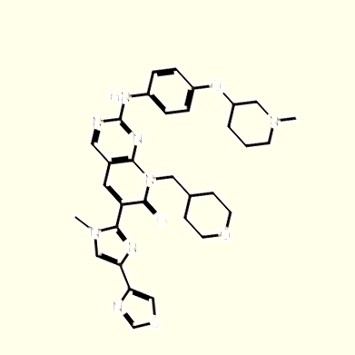 CN1CCCC(Oc2ccc(Nc3ncc4cc(-c5nc(-c6cscn6)cn5C)c(=O)n(CC5CCOCC5)c4n3)cc2)C1